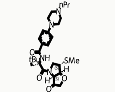 CCCN1CCN(c2ccc(C(=O)N[C@@H](CC(C)(C)C)C(=O)N3C[C@H](SC)[C@H]4OCC(=O)[C@H]43)cc2)CC1